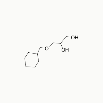 OCC(O)COCC1CCCCC1